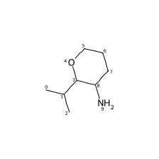 CC(C)C1OCCCC1N